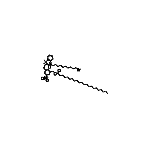 CCCCCCCCCCCCCCCCCCCCCC(=O)OCc1cc([N+](=O)[O-])cc2c1OC1(C=C2)N(CCCCCCCCCCBr)c2ccccc2C1(C)C